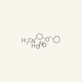 CNc1cccc(OCc2ccccc2)c1[N+](=O)[O-]